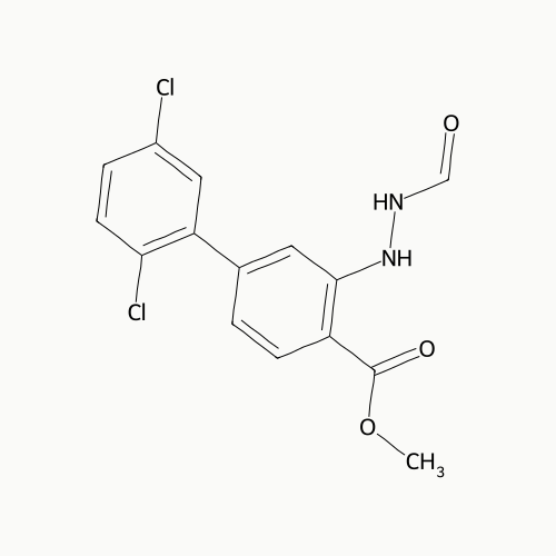 COC(=O)c1ccc(-c2cc(Cl)ccc2Cl)cc1NNC=O